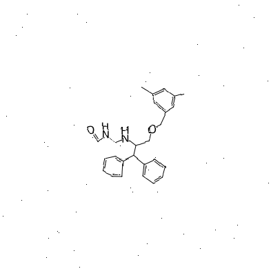 Cc1cc(C)cc(COCC(NCNC=O)C(c2ccccc2)c2ccccc2)c1